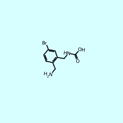 NCc1ccc(Br)cc1CNC(=O)O